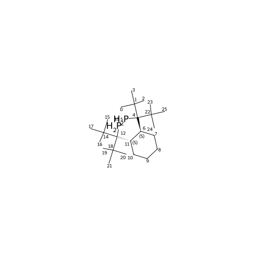 CC(C)(C)C(P)([C@H]1CCCC[C@@H]1C(P)(C(C)(C)C)C(C)(C)C)C(C)(C)C